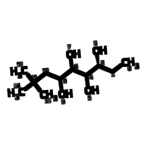 CC[C@@H](O)C(O)C(O)C(O)CC(C)(C)C